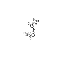 CCN(CC)C(=O)Oc1cc(SSSc2cc(OC(=O)N(CC)CC)c(Cl)cc2C)c(C)cc1Cl